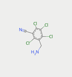 N#Cc1c(Cl)c(Cl)c(Cl)c(CN)c1Cl